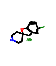 Br.Fc1ccc2c(c1)CC1(CCNCC1)O2